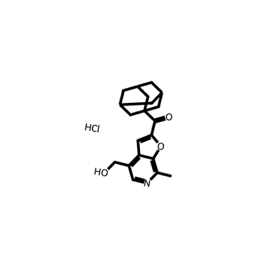 Cc1ncc(CO)c2cc(C(=O)C34CC5CC(CC(C5)C3)C4)oc12.Cl